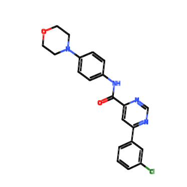 O=C(Nc1ccc(N2CCOCC2)cc1)c1cc(-c2cccc(Cl)c2)ncn1